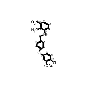 CC(=O)Oc1cc(Oc2ccc(CNc3cccc([N+](=O)[O-])c3C)cc2)ccc1Cl